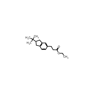 CCOC(=O)CCc1ccc2c(c1)CC(C(C)(C)C)C2